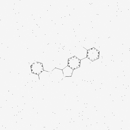 CCc1ccccc1-c1ccc2c(c1)CN(C)C2CNc1cnccc1C=O